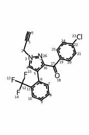 C#CCn1cc(-c2ccccc2C(F)(F)F)c(C(=O)c2ccc(Cl)cc2)n1